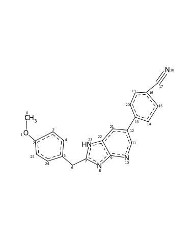 COc1ccc(Cc2nc3ncc(-c4ccc(C#N)cc4)cc3[nH]2)cc1